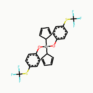 FC(F)(F)Sc1ccc([O][Zr]([O]c2ccc(SC(F)(F)F)cc2)([CH]2C=CC=C2)[CH]2C=CC=C2)cc1